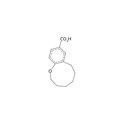 O=C(O)c1ccc2c(c1)CCCCCCO2